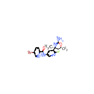 C[C@@]1(c2cc(NC(=O)c3ccc(Br)cn3)cnc2F)C[C@@H](C(F)(F)F)OC(N)=N1